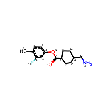 N#Cc1ccc(OC(=O)C2CCC(CN)CC2)cc1F